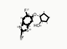 O[C@@H]1CCC[C@H]1Oc1cc2sc(Br)nc2cc1F